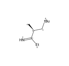 CCC(=N)[C@@H](C)CC(C)(C)C